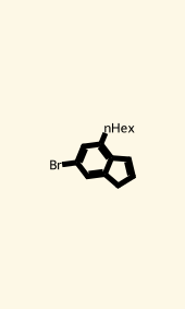 CCCCCCc1cc(Br)cc2c1C=CC2